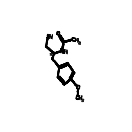 COc1ccc(C[C@@H](CS)NC(C)=O)cc1